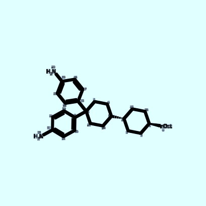 CCCCCCCC[C@H]1CC[C@H](C2CCC(c3ccc(N)cc3)(c3ccc(N)cc3)CC2)CC1